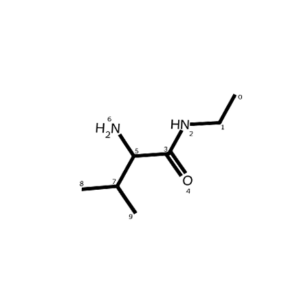 [CH2]CNC(=O)C(N)C(C)C